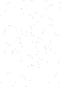 CC1CCC(c2cccc(CN(C)C)c2)=NC1